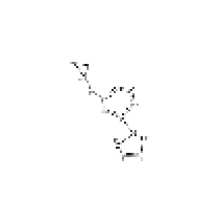 C1=COC(c2cccc(CC3CC3)c2)O1